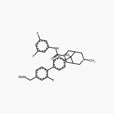 CNCc1ccc(-c2ccc(C3(O)C4CN(C)CC3CN(C(=O)Nc3cc(F)cc(F)c3)C4)nc2)c(F)c1